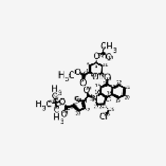 COC(=O)C1C[C@H](OC(C)=O)CC(Oc2cc3c(c4ccccc24)[C@H](CCl)CN3C(=O)c2ccc(C(=O)OC(C)(C)C)s2)O1